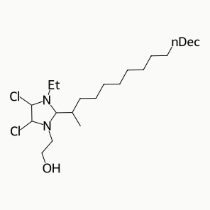 CCCCCCCCCCCCCCCCCCC(C)C1N(CC)C(Cl)C(Cl)N1CCO